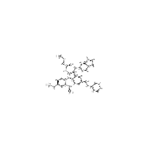 CCOC(=O)Oc1c(-c2ccc(OC)cc2OC)c2ccc(OCc3ccccc3)cc2n1Cc1ccc2nsnc2c1